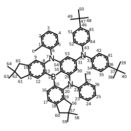 Cc1ccccc1N1c2cc3c(cc2B2c4ccc5c(c4N(c4ccccc4C)c4cc(N(c6ccc(C(C)(C)C)cc6)c6ccc(C(C)(C)C)cc6)cc1c42)CC(C)(C)C5)CC(C)(C)C3